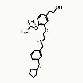 CC(C)Oc1ccc(CCO)cc1OCCNCc1cccc(OC2CCCC2)c1